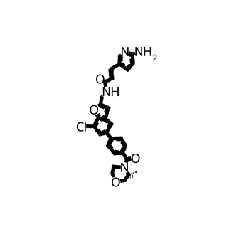 C[C@@H]1COCCN1C(=O)c1ccc(-c2cc(Cl)c3oc(CNC(=O)C=Cc4ccc(N)nc4)cc3c2)cc1